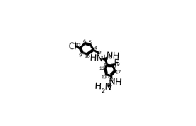 N=C(NCc1ccc(Cl)cc1)c1ccc(NN)cc1F